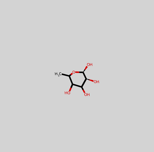 CC1O[C@@H](O)[C@@H](O)C(O)C1O